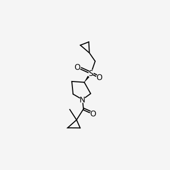 CC1(C(=O)N2CC[C@@H](S(=O)(=O)CC3CC3)C2)CC1